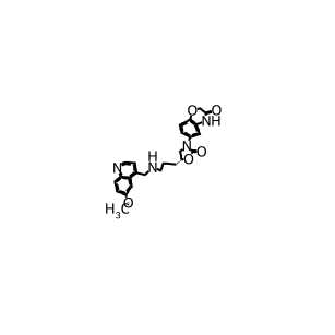 COc1ccc2nccc(CNCCC[C@@H]3CN(c4ccc5c(c4)NC(=O)CO5)C(=O)O3)c2c1